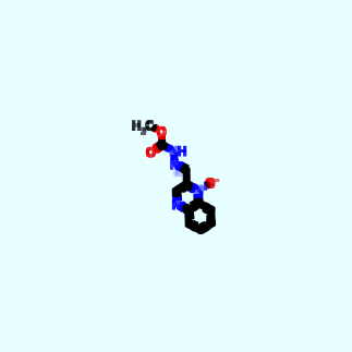 COC(=O)N/N=C/c1cnc2ccccc2[n+]1[O-]